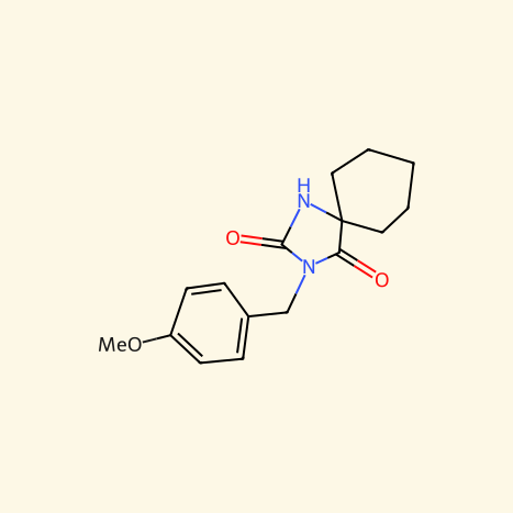 COc1ccc(CN2C(=O)NC3(CCCCC3)C2=O)cc1